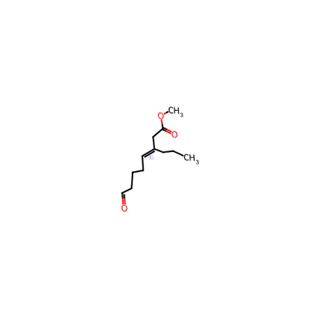 CCC/C(=C\CCCC=O)CC(=O)OC